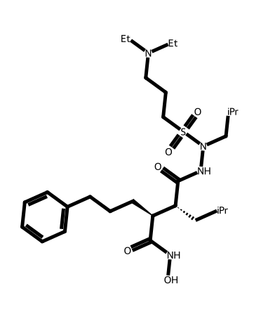 CCN(CC)CCCS(=O)(=O)N(CC(C)C)NC(=O)[C@H](CC(C)C)[C@H](CCCc1ccccc1)C(=O)NO